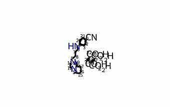 N#Cc1ccc(NCCCCN2CCN3CCCCC3C2)cc1.O=C(O)/C=C/C(=O)O.O=C(O)/C=C/C(=O)O